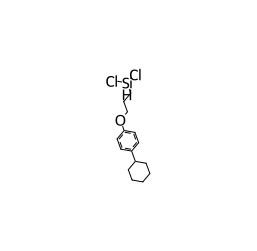 Cl[SiH](Cl)CCCOc1ccc(C2CCCCC2)cc1